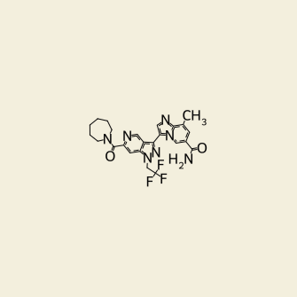 Cc1cc(C(N)=O)cn2c(-c3nn(CC(F)(F)F)c4cc(C(=O)N5CCCCCC5)ncc34)cnc12